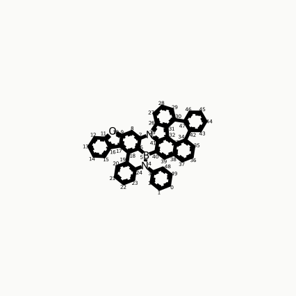 c1ccc(N2B3c4c(cc5oc6ccccc6c5c4-c4ccccc42)-n2c4cccc5c4c4c6c(cccc6cc3c42)-c2ccccc2-5)cc1